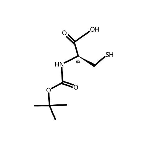 CC(C)(C)OC(=O)N[C@H](CS)C(=O)O